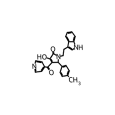 Cc1ccc(C2C(C(=O)c3ccncc3)=C(O)C(=O)N2CCc2c[nH]c3ccccc23)cc1